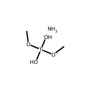 C[O][Ti]([OH])([OH])[O]C.N